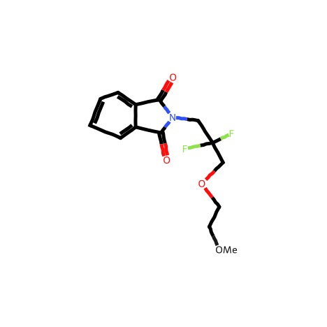 COCCOCC(F)(F)CN1C(=O)c2ccccc2C1=O